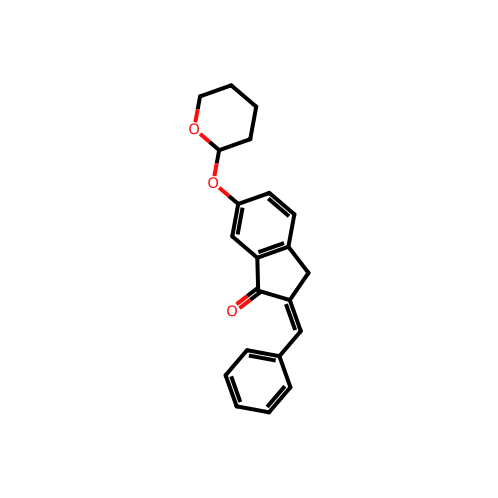 O=C1C(=Cc2ccccc2)Cc2ccc(OC3CCCCO3)cc21